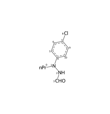 CCCN(NC=O)c1ccc(Cl)cc1